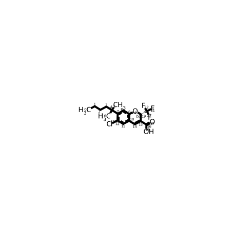 CCCCC(C)(C)c1cc2c(cc1Cl)C=C(C(=O)O)[C@@H](C(F)(F)F)O2